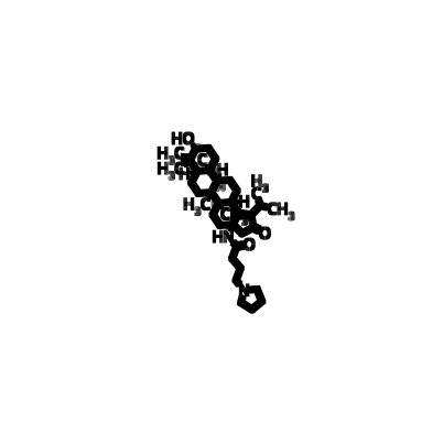 CC(C)C1=C2[C@H]3CC[C@@H]4[C@@]5(C)CC[C@H](O)C(C)(C)[C@@H]5CC[C@@]4(C)[C@]3(C)CC[C@@]2(NC(=O)CCCN2CCCC2)CC1=O